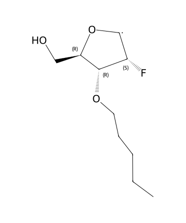 CCCCCO[C@H]1[C@@H](F)[CH]O[C@@H]1CO